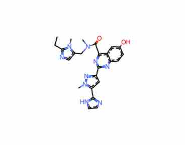 CCc1ncc(CN(C)C(=O)c2nc(-c3cc(-c4ncc[nH]4)n(C)n3)nc3ccc(O)cc23)n1C